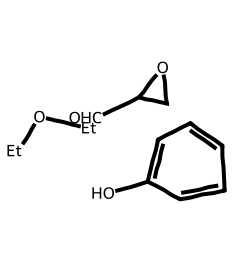 CCOCC.O=CC1CO1.Oc1ccccc1